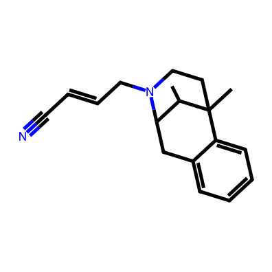 CC1C2Cc3ccccc3C1(C)CCN2CC=CC#N